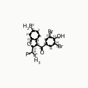 Bc1ccc2c(C(=O)c3cc(Br)c(O)c(Br)c3)c(C(C)F)oc2c1